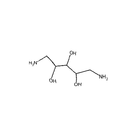 NCC(O)C(O)C(O)CN